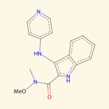 CON(C)C(=O)c1[nH]c2ccccc2c1Nc1ccncc1